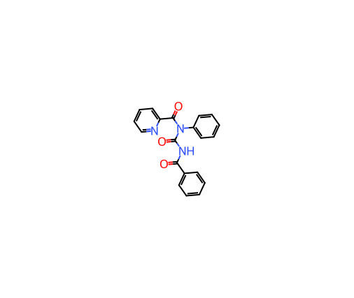 O=C(NC(=O)N(C(=O)c1ccccn1)c1ccccc1)c1ccccc1